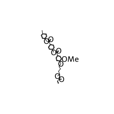 C=CC(=O)OCCCCOc1ccc(C(=O)Oc2ccc(C(=O)Oc3ccc(C)cc3)cc2)cc1OC